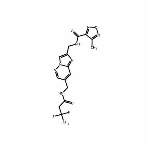 Cc1nonc1C(=O)NCc1cn2ncc(CNC(=O)CC(C)(F)F)cc2n1